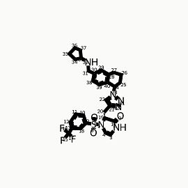 O=C1NC=CN(S(=O)(=O)c2cccc(C(F)(F)F)c2)[C@@H]1Cc1cn(C2CCCc3cc(CNC4CCCC4)ccc32)nn1